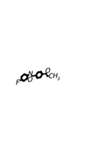 CCC(=O)c1ccc(-c2nc3ccc(F)cc3o2)cc1